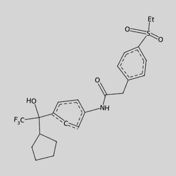 CCS(=O)(=O)c1ccc(CC(=O)Nc2ccc(C(O)(C3CCCC3)C(F)(F)F)cc2)cc1